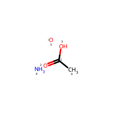 CC(=O)O.N.[O]